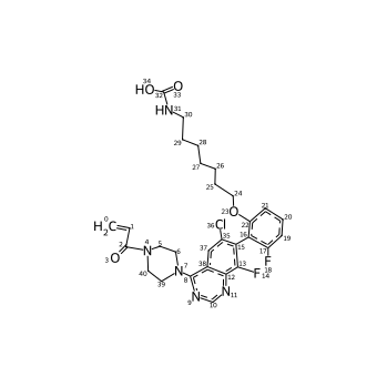 C=CC(=O)N1CCN(c2ncnc3c(F)c(-c4c(F)cccc4OCCCCCCCNC(=O)O)c(Cl)cc23)CC1